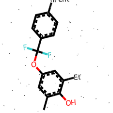 CCCCCc1ccc(C(F)(F)Oc2cc(C)c(O)c(CC)c2)cc1